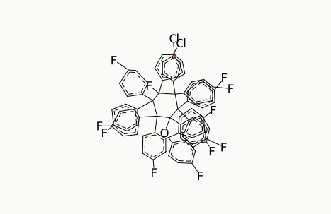 Fc1ccc(OC2(c3ccc(F)cc3)C(c3ccc(F)cc3)(c3ccc(F)cc3)C(c3ccc(F)cc3)(c3ccc(Cl)cc3)C(F)(c3ccc(Cl)cc3)C(c3ccc(F)cc3)(c3ccc(F)cc3)C2(c2ccc(F)cc2)c2ccc(F)cc2-c2ccc(F)cc2)cc1